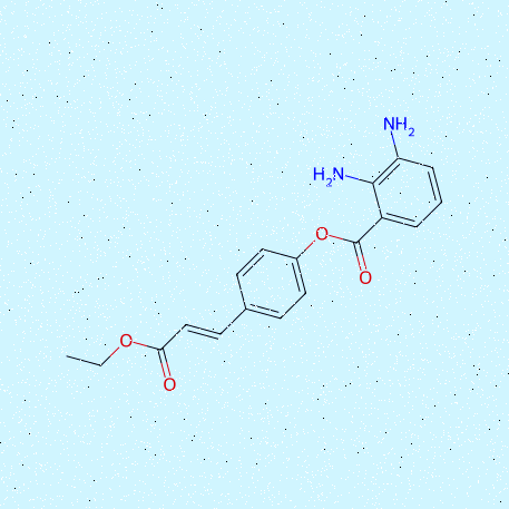 CCOC(=O)C=Cc1ccc(OC(=O)c2cccc(N)c2N)cc1